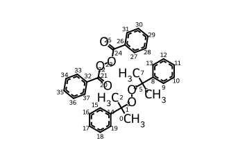 CC(C)(OOC(C)(C)c1ccccc1)c1ccccc1.O=C(OOC(=O)c1ccccc1)c1ccccc1